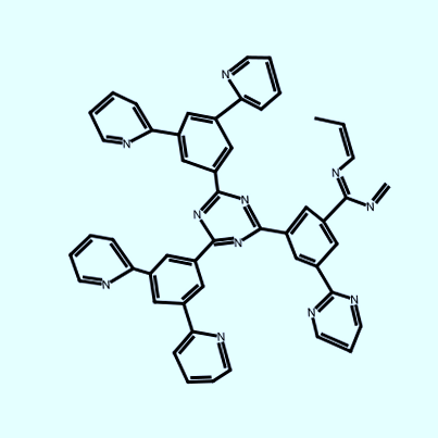 C=N/C(=N\C=C/C)c1cc(-c2ncccn2)cc(-c2nc(-c3cc(-c4ccccn4)cc(-c4ccccn4)c3)nc(-c3cc(-c4ccccn4)cc(-c4ccccn4)c3)n2)c1